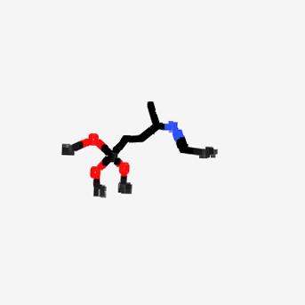 CCCC=NC(C)CC[Si](OCC)(OCC)OCC